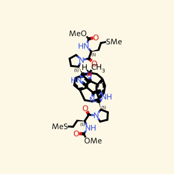 COC(=O)N[C@@H](CCSC)C(=O)N1CCC[C@H]1c1nc(-c2cc3ccc2CCc2ccc(c(-c4c[nH]c([C@@H]5CCCN5C(=O)[C@H](CCSC)NC(=O)OC)n4)c2)C[C@H]3C)c[nH]1